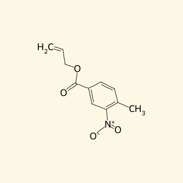 C=CCOC(=O)c1ccc(C)c([N+](=O)[O-])c1